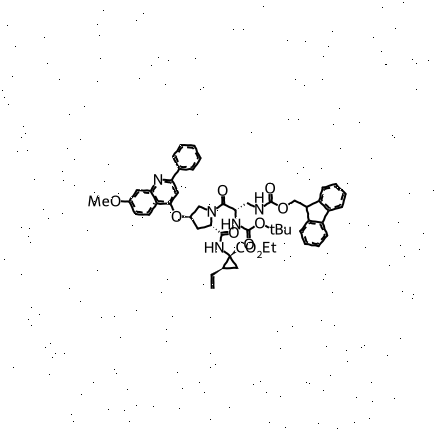 C=C[C@@H]1C[C@]1(NC(=O)[C@@H]1C[C@@H](Oc2cc(-c3ccccc3)nc3cc(OC)ccc23)CN1C(=O)[C@H](CNC(=O)OCC1c2ccccc2-c2ccccc21)NC(=O)OC(C)(C)C)C(=O)OCC